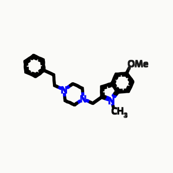 COc1ccc2c(c1)cc(CN1CCN(CCc3ccccc3)CC1)n2C